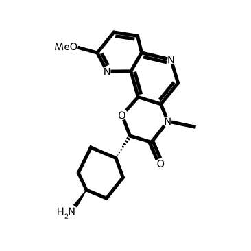 COc1ccc2ncc3c(c2n1)OC([C@H]1CC[C@H](N)CC1)C(=O)N3C